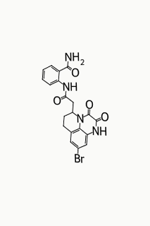 NC(=O)c1ccccc1NC(=O)CC1CCc2cc(Br)cc3[nH]c(=O)c(=O)n1c23